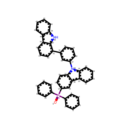 O=P(c1ccccc1)(c1ccccc1)c1ccc2c(c1)c1ccccc1n2-c1cccc(-c2cccc3c2[nH]c2ccccc23)c1